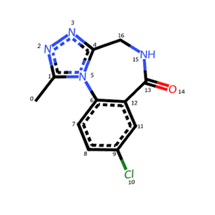 Cc1nnc2n1-c1ccc(Cl)cc1C(=O)NC2